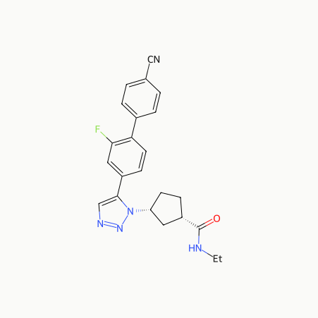 CCNC(=O)[C@H]1CC[C@@H](n2nncc2-c2ccc(-c3ccc(C#N)cc3)c(F)c2)C1